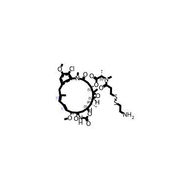 COc1cc2cc(c1Cl)N(C)C(=O)C[C@H](OC(=O)[C@H](C)N(C)C(=O)CCSSCCN)C1(C)O[C@H]1[C@H](C)[C@@H]1C[C@@](O)(NC(=O)O1)[C@H](OC)/C=C/C=C(\C)C2